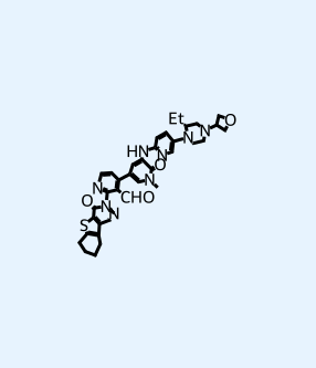 CC[C@H]1CN(C2COC2)CCN1c1ccc(Nc2cc(-c3ccnc(-n4ncc5c6c(sc5c4=O)CCCC6)c3C=O)cn(C)c2=O)nc1